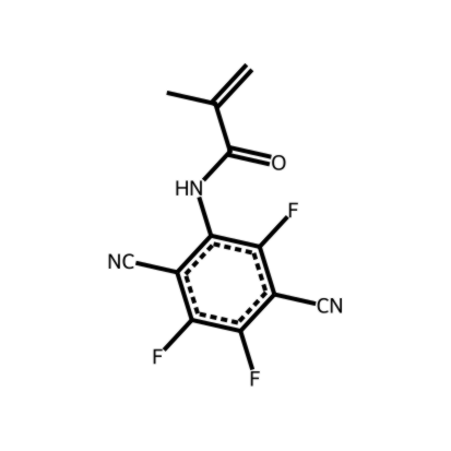 C=C(C)C(=O)Nc1c(F)c(C#N)c(F)c(F)c1C#N